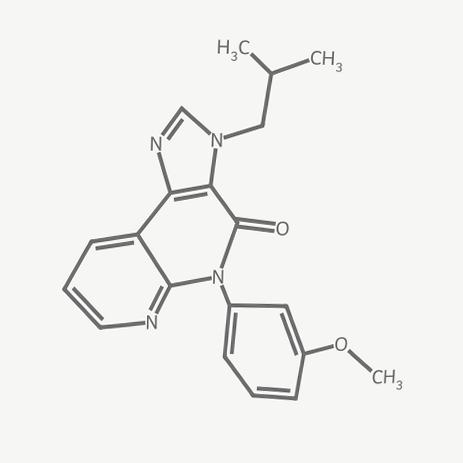 COc1cccc(-n2c(=O)c3c(ncn3CC(C)C)c3cccnc32)c1